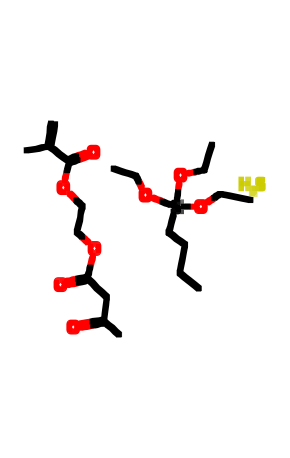 C=C(C)C(=O)OCCOC(=O)CC(C)=O.CCCC[Si](OCC)(OCC)OCC.S